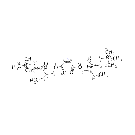 CCC(COC(=O)/C=C\C(=O)OCC(CC)[PH](=O)CC[N+](C)(C)C)[PH](=O)CC[N+](C)(C)C